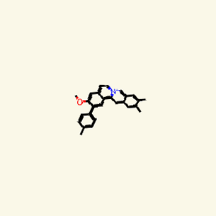 COc1cc2cc[n+]3cc4cc(C)c(C)cc4cc3c2cc1-c1ccc(C)cc1